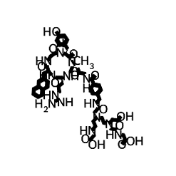 CN1C(=O)[C@@H](Cc2ccc(O)cc2)NC(=O)CNC(=O)C(Cc2ccc3ccccc3c2)NC(=O)[C@H](CCCNC(=N)N)NC(=O)[C@H]1CCCNC(=O)c1ccc(CNC(=O)CN(CCNCC(=O)O)CCN(CCNCC(=O)O)CC(=O)O)cc1